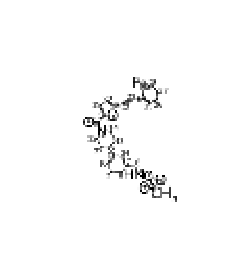 CS(=O)(=O)ONCc1cccc(C2CCN(C(=O)c3ccc(C#Cc4ccccc4F)o3)CC2)c1